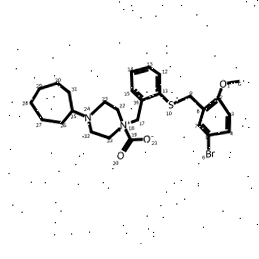 COc1ccc(Br)cc1CSc1ccccc1C[N+]1(C(=O)[O-])CCN(C2CCCCCC2)CC1